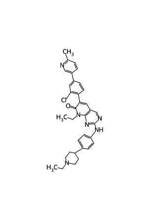 CCN1CCC(c2ccc(Nc3ncc4cc(-c5ccc(-c6ccc(C)nc6)cc5Cl)c(=O)n(CC)c4n3)cc2)CC1